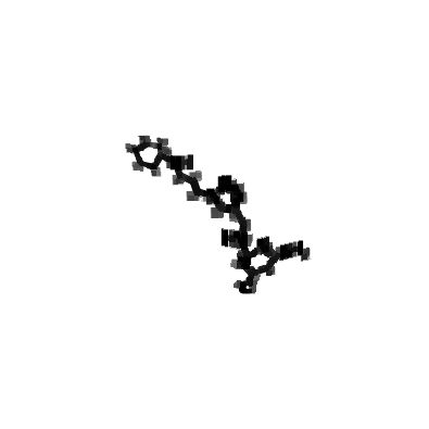 Nc1cc(Cl)nc(NCc2cn(CCCNC3CCCCC3)nn2)n1